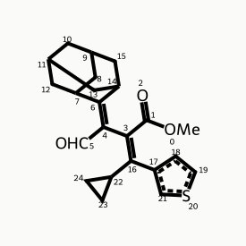 COC(=O)/C(C(C=O)=C1C2CC3CC(C2)CC1C3)=C(\c1ccsc1)C1CC1